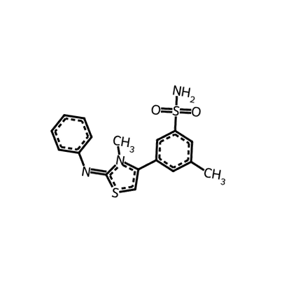 Cc1cc(-c2cs/c(=N/c3ccccc3)n2C)cc(S(N)(=O)=O)c1